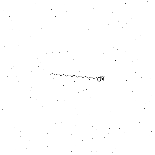 CCCCCCCCC=CCCCCCCCCO[Si](C)(C)C